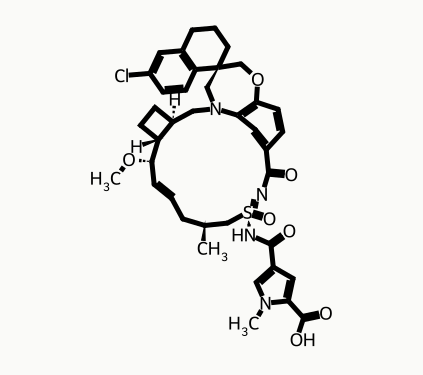 CO[C@H]1/C=C/C[C@H](C)C[S@@](=O)(NC(=O)c2cc(C(=O)O)n(C)c2)=NC(=O)c2ccc3c(c2)N(C[C@@H]2CC[C@H]21)C[C@@]1(CCCc2cc(Cl)ccc21)CO3